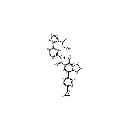 CC(CO)n1cnnc1-c1cccc(NC(=O)c2cc(-c3ccc(C4CC4)nc3)c3n(c2=O)CCC3)n1